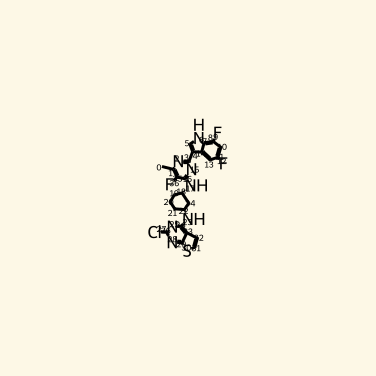 Cc1nc(-c2c[nH]c3c(F)cc(F)cc23)nc(N[C@H]2CCC[C@@H](Nc3nc(Cl)nc4sccc34)C2)c1F